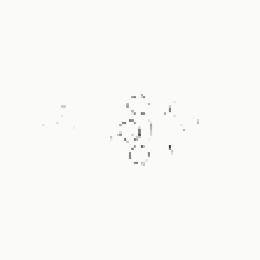 CCN(CC)CCCCOc1ccc(C2(c3ccccc3)OC(=O)CC(O)(C(=O)O)CC(=O)OC2(Cl)c2ccccc2)cc1